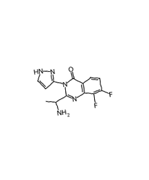 CC(N)c1nc2c(F)c(F)ccc2c(=O)n1-c1cc[nH]n1